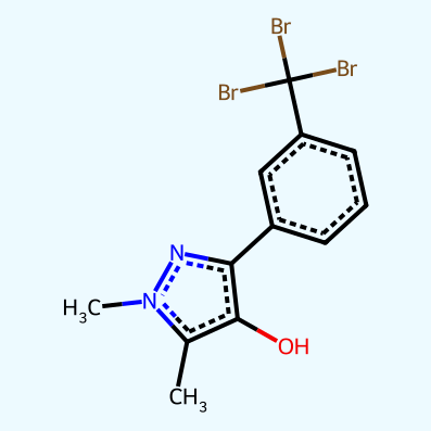 Cc1c(O)c(-c2cccc(C(Br)(Br)Br)c2)nn1C